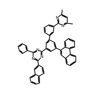 Cc1cc(C)nc(-c2cccc(-c3cc(-c4nc(-c5ccccc5)nc(-c5ccc6ccccc6c5)n4)cc(-c4cc5ccccc5c5ccccc45)c3)c2)n1